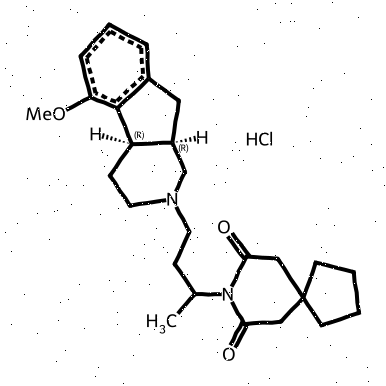 COc1cccc2c1[C@@H]1CCN(CCC(C)N3C(=O)CC4(CCCC4)CC3=O)C[C@@H]1C2.Cl